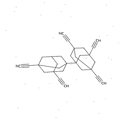 C#CC12CC3CC(C#C)(C1)CC(C14CC5(C#C)CC(C#C)(CC(C#C)(C5)C1)C4)(C3)C2